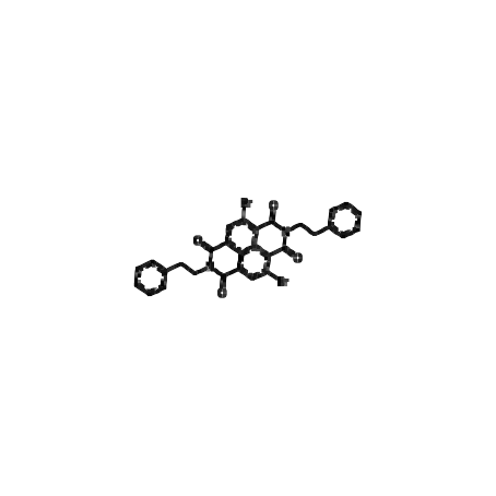 O=C1c2cc(Br)c3c4c(c(Br)cc(c24)C(=O)N1CCc1ccccc1)C(=O)N(CCc1ccccc1)C3=O